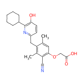 Cc1cc(OCC(=O)O)c(C#N)c(C)c1Cc1ccc(O)c(C2CCCCC2)n1